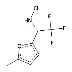 Cc1ccc([C@H](NCl)C(F)(F)F)o1